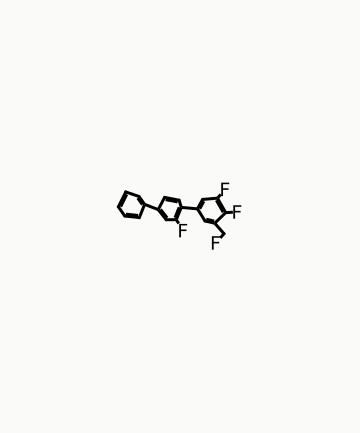 FCc1cc(-c2ccc(-c3ccccc3)cc2F)cc(F)c1F